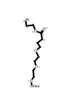 CCCCCCOCCOCCOCCCC(=O)OCCC(C)C